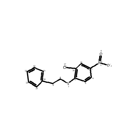 O=[N+]([O-])c1ccc(SCCc2ccccc2)c(Cl)c1